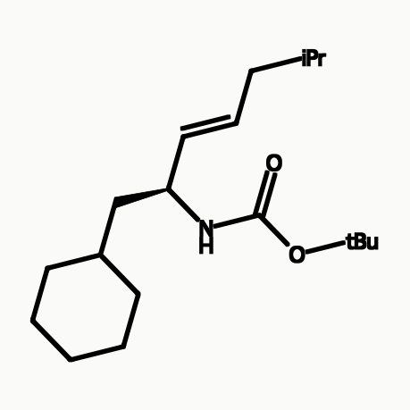 CC(C)C/C=C/[C@H](CC1CCCCC1)NC(=O)OC(C)(C)C